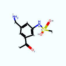 CC(=O)c1cc(CN)cc(NS(C)(=O)=O)c1